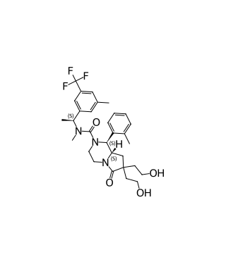 Cc1cc([C@H](C)N(C)C(=O)N2CCN3C(=O)C(CCO)(CCO)C[C@H]3[C@@H]2c2ccccc2C)cc(C(F)(F)F)c1